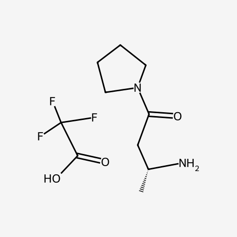 C[C@@H](N)CC(=O)N1CCCC1.O=C(O)C(F)(F)F